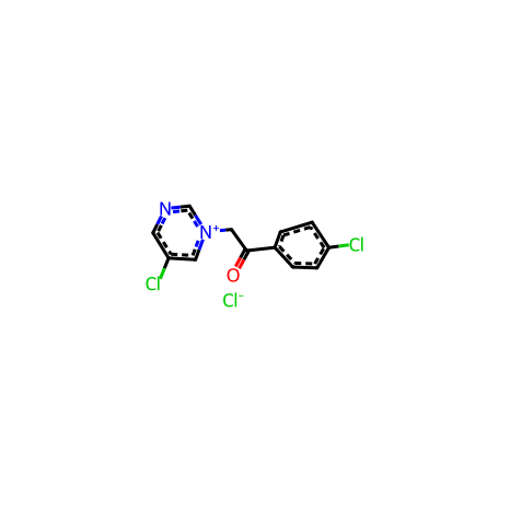 O=C(C[n+]1cncc(Cl)c1)c1ccc(Cl)cc1.[Cl-]